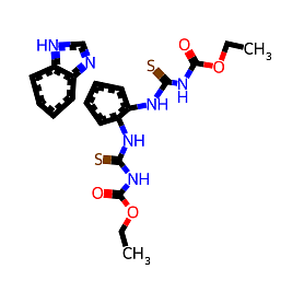 CCOC(=O)NC(=S)Nc1ccccc1NC(=S)NC(=O)OCC.c1ccc2[nH]cnc2c1